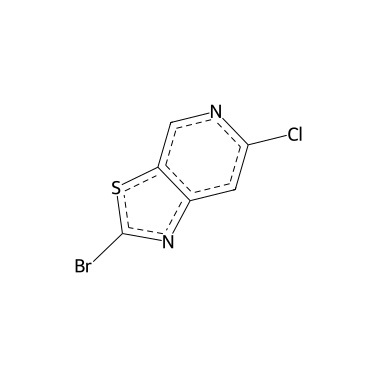 Clc1cc2nc(Br)sc2cn1